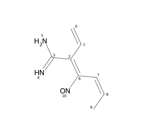 C=C/C(C(=N)N)=C(\C=C/C)N=O